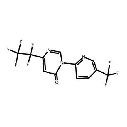 O=c1cc(C(F)(F)C(F)(F)F)ncn1-c1ccc(C(F)(F)F)cn1